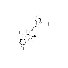 Cc1cc(C)c(NC(=NC#N)NCCCn2cncc2C)c(C)c1